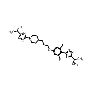 CC(C)c1noc(N2CCC(CCCOc3cc(F)c(-c4nnc(C(C)C)o4)c(F)c3)CC2)n1